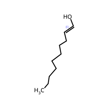 CCCCCCCC/C=C/O